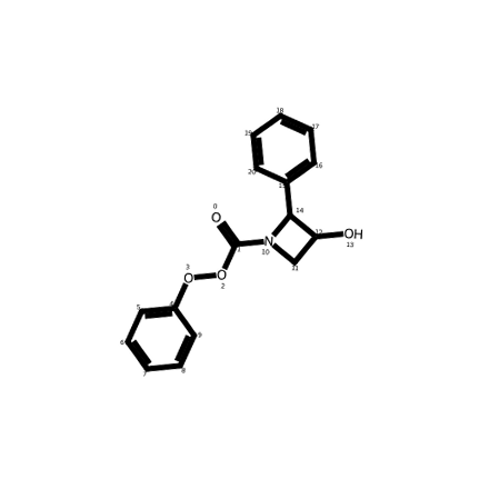 O=C(OOc1ccccc1)N1CC(O)C1c1ccccc1